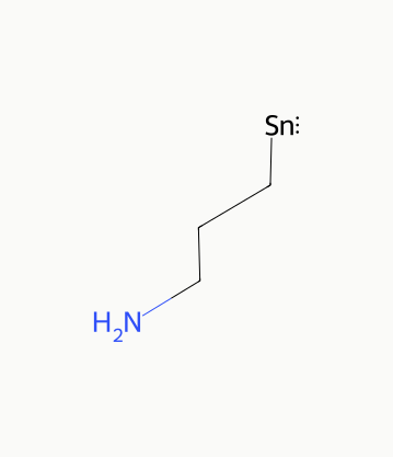 NCC[CH2][Sn]